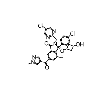 Cn1cc(C(=O)c2cc(F)c3c(c2)C(=O)N(Cc2ncc(Cl)cn2)[C@@]3(O[C@H]2C[C@@H](O)C2)c2ccc(Cl)cc2)cn1